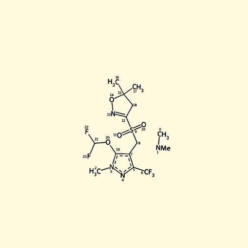 CNC.Cn1nc(C(F)(F)F)c(CS(=O)(=O)C2=NOC(C)(C)C2)c1OC(F)F